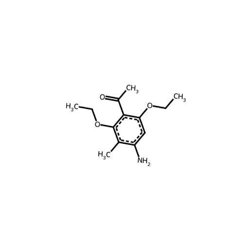 CCOc1cc(N)c(C)c(OCC)c1C(C)=O